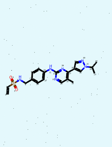 C=CS(=O)(=O)NCc1ccc(Nc2ncc(C)c(-c3cnn(C(C)C)c3)n2)cc1